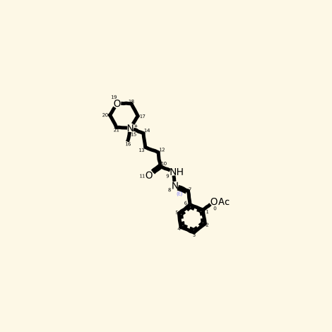 CC(=O)Oc1ccccc1/C=N/NC(=O)CCC[N+]1(C)CCOCC1